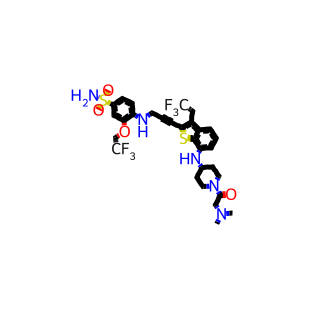 CN(C)CC(=O)N1CCC(Nc2cccc3c(CC(F)(F)F)c(C#CCNc4ccc(S(N)(=O)=O)cc4OCC(F)(F)F)sc23)CC1